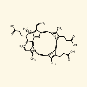 C=CC1=C(C)c2nc1cc1[nH]c(cc3nc(cc4[nH]c(c(C=C)c4C)c2C(=O)[C@H](CCC(=O)O)NC)C(C)=C3CCC(=O)O)c(CCC(=O)O)c1C